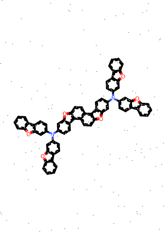 c1ccc2c(c1)oc1cc(N(c3ccc4c(c3)oc3ccccc34)c3ccc4c(c3)oc3ccc5c(ccc6oc7cc(N(c8ccc9c(c8)oc8ccccc89)c8ccc9c(c8)oc8ccccc89)ccc7c65)c34)ccc12